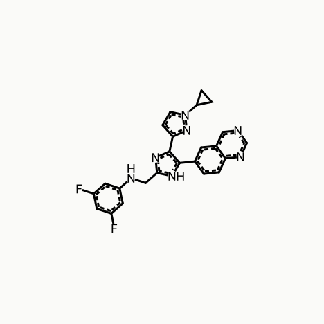 Fc1cc(F)cc(NCc2nc(-c3ccn(C4CC4)n3)c(-c3ccc4ncncc4c3)[nH]2)c1